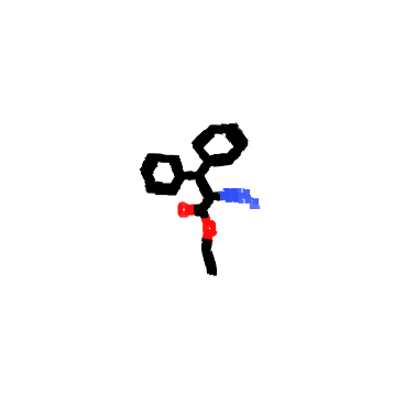 CCOC(=O)C(N)=C(c1ccccc1)c1ccccc1